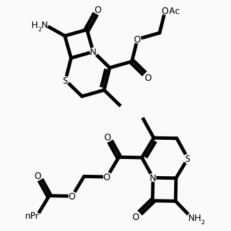 CC(=O)OCOC(=O)C1=C(C)CSC2C(N)C(=O)N12.CCCC(=O)OCOC(=O)C1=C(C)CSC2C(N)C(=O)N12